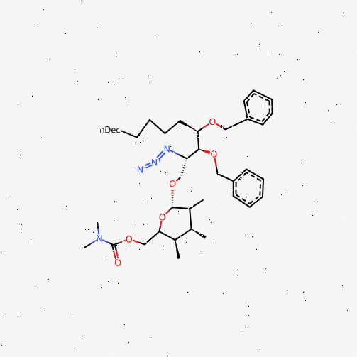 CCCCCCCCCCCCCC[C@@H](OCc1ccccc1)[C@@H](OCc1ccccc1)[C@H](CO[C@H]1OC(COC(=O)N(C)C)[C@H](C)[C@H](C)C1C)N=[N+]=[N-]